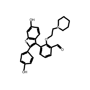 O=Cc1cccc(-c2c(-c3ccc(O)cc3)sc3cc(O)ccc23)c1OCCN1CCCCC1